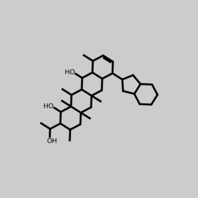 CC(O)C1C(C)CC2(C)CC3(C)CC4C(C5CC6CCCCC6C5)C=CC(C)C4C(O)C3C(C)C2(C)C1O